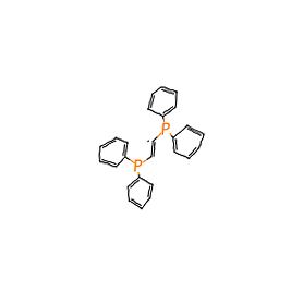 [C](=CP(c1ccccc1)c1ccccc1)P(c1ccccc1)c1ccccc1